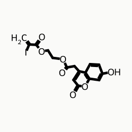 C=C(I)C(=O)OCCOC(=O)Cc1cc(=O)oc2cc(O)ccc12